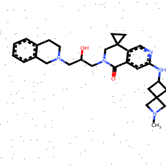 CN1CC2(CC(Nc3cc4c(cn3)C3(CC3)CN(CC(O)CN3CCc5ccccc5C3)C4=O)C2)C1